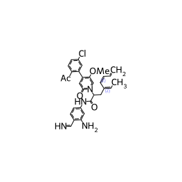 C=C/C=C\C(=C/C)CC(C(=O)Nc1ccc(C=N)c(N)c1)n1cc(OC)c(-c2cc(Cl)ccc2C(C)=O)cc1=O